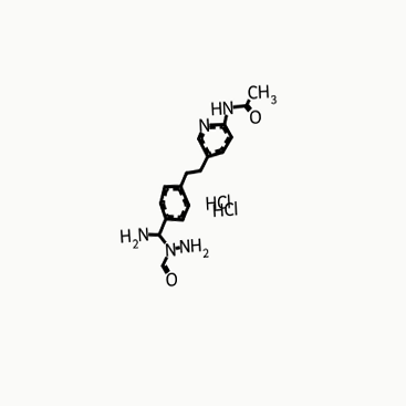 CC(=O)Nc1ccc(CCc2ccc(C(N)N(N)C=O)cc2)cn1.Cl.Cl